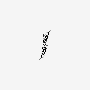 CCCCOc1ccc(COC2CCC(c3ccc(C4CCC(OCCCC)CC4)c(F)c3F)CC2)c(F)c1F